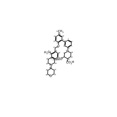 CO[C@H]1CN(c2cccc(-c3cc(C)ccc3OCc3ccc4c(c3C)CCN(C3CCOCC3)C4)n2)CC[C@H]1C(=O)O